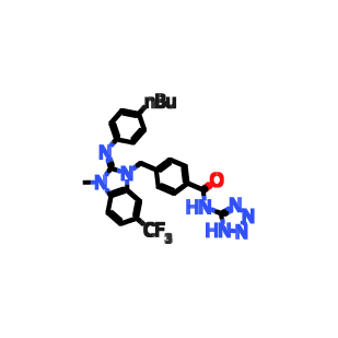 CCCCc1ccc(N=c2n(C)c3ccc(C(F)(F)F)cc3n2Cc2ccc(C(=O)Nc3nnn[nH]3)cc2)cc1